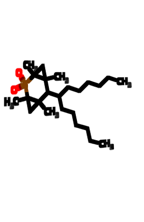 CCCCCCC(CCCCCC)C1C2(C)CC2(C)S(=O)(=O)C2(C)CC12C